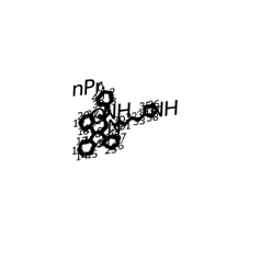 CCCc1ccc(NC(=O)c2c(C(c3ccccc3)c3ccccc3)c3ccccc3n2CCCCC2CCNC2)cc1